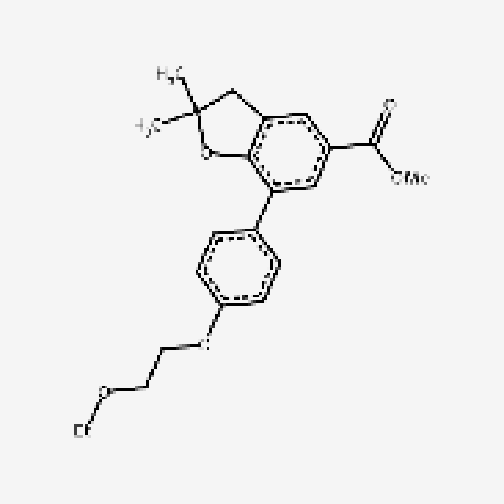 CCOCCOc1ccc(-c2cc(C(=O)OC)cc3c2OC(C)(C)C3)cc1